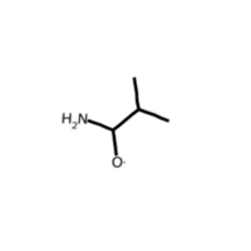 CC(C)C(N)[O]